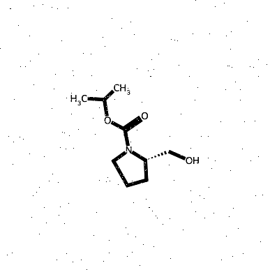 CC(C)OC(=O)N1CCC[C@H]1CO